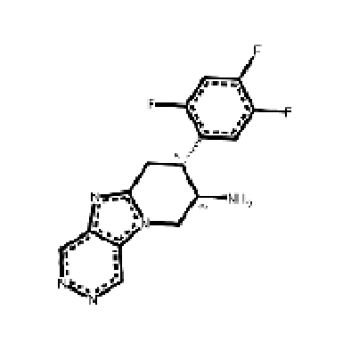 N[C@H]1Cn2c(nc3cnncc32)C[C@@H]1c1cc(F)c(F)cc1F